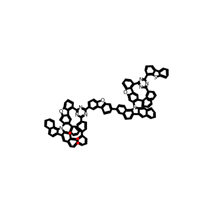 c1ccc(-c2ccc(-c3nc(-c4ccc5oc6cc(-c7ccc8c(ccc9c%10cc%11ccccc%11cc%10n(-c%10cc%11oc%12cccc(-c%13nc(-c%14ccccc%14)nc(-c%14cccc%15c%14sc%14ccccc%14%15)n%13)c%12c%11cc%10-c%10ccccc%10)c89)c7)ccc6c5c4)nc(-c4cccc5oc6cc(-n7c8cc9ccccc9cc8c8ccc9ccccc9c87)c(-c7ccccc7)cc6c45)n3)cc2)cc1